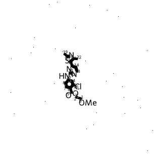 COCCOC(=O)c1ccc(Nc2nccc(-c3sc(C)nc3C)n2)cc1Cl